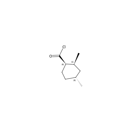 C[C@@H]1CC[C@@H](C(=O)Cl)[C@@H](C)C1